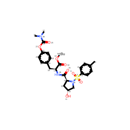 Cc1ccc(S(=O)(=O)N2C[C@H](O)C[C@H]2C(=O)N[C@@H](Cc2ccc(OC(=O)N(C)C)cc2)C(=O)OC(C)(C)C)cc1